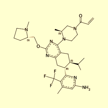 C=CC(=O)N1CCN(c2nc(OC[C@@H]3CCCN3C)nc3c2C[C@@H](C(C)C)[C@H](c2nc(N)cc(C)c2C(F)(F)F)C3)[C@@H](C)C1